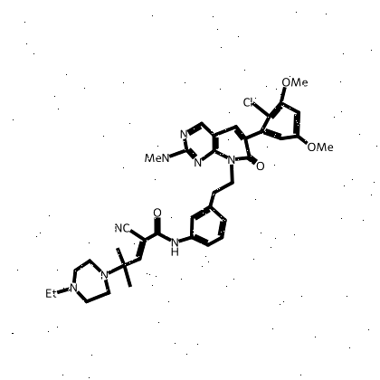 CCN1CCN(C(C)(C)/C=C(\C#N)C(=O)Nc2cccc(CCn3c(=O)c(-c4cc(OC)cc(OC)c4Cl)cc4cnc(NC)nc43)c2)CC1